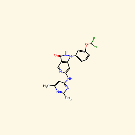 Cc1cc(Nc2cc3c(cn2)c(=O)[nH]n3-c2cccc(OC(F)F)c2)nc(C)n1